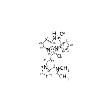 CCN(C)CC1CCCCN1CCCC(=O)N1c2ccccc2C(=O)Nc2cccnc21